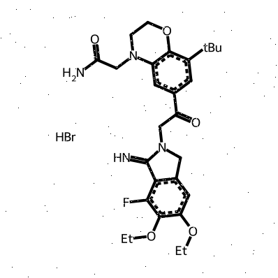 Br.CCOc1cc2c(c(F)c1OCC)C(=N)N(CC(=O)c1cc3c(c(C(C)(C)C)c1)OCCN3CC(N)=O)C2